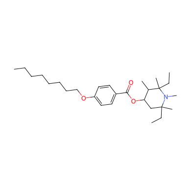 CCCCCCCCOc1ccc(C(=O)OC2CC(C)(CC)N(C)C(C)(CC)C2C)cc1